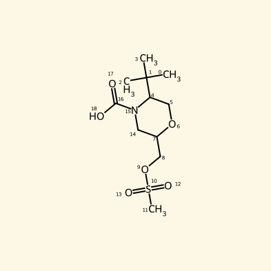 CC(C)(C)C1COC(COS(C)(=O)=O)CN1C(=O)O